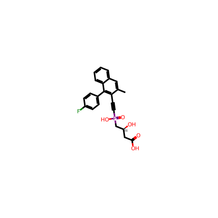 Cc1cc2ccccc2c(-c2ccc(F)cc2)c1C#CP(=O)(O)C[C@@H](O)CC(=O)O